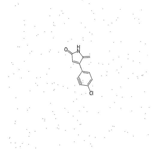 C=C1NC(=O)C=C1c1c#cc(Cl)cc1